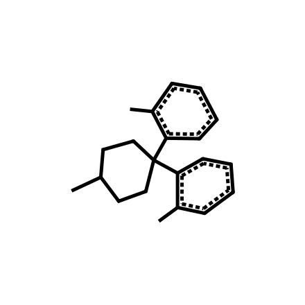 Cc1ccccc1C1(c2ccccc2C)CCC(C)CC1